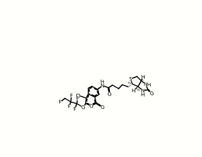 O=C(CCCC[C@@H]1SC[C@@H]2NC(=O)N[C@@H]21)Nc1ccc2c(Cl)c(OC(F)(F)C(F)(F)CF)oc(=O)c2c1